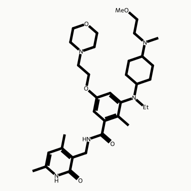 CCN(c1cc(OCCN2CCOCC2)cc(C(=O)NCc2c(C)cc(C)[nH]c2=O)c1C)C1CCC(N(C)CCOC)CC1